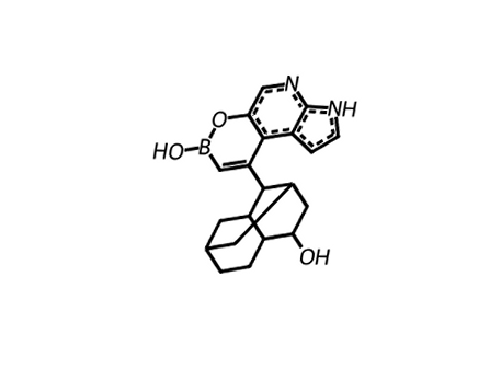 OB1C=C(C2C3CC4CCC(C(O)C3)C2C4)c2c(cnc3[nH]ccc23)O1